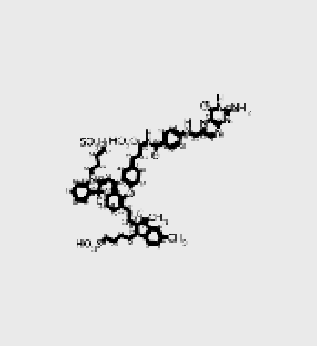 Cc1ccc2c(c1)C(C)(C)C(/C=C/C1=C(Oc3ccc(CC[C@@H](NC(=O)c4ccc(NCc5cnc6nc(N)[nH]c(=O)c6n5)cc4)C(=O)O)cc3)C(=C/C=C3/N(CCCCS(=O)(=O)O)c4ccccc4C3(C)C)/CCC1)=C2CCCCS(=O)(=O)O